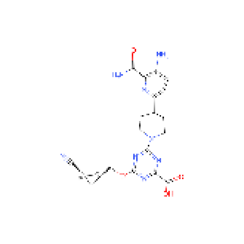 N#C[C@@H]1C[C@@H]1COc1nc(C(=O)O)nc(N2CCC(c3ccc(N)c(C(N)=O)n3)CC2)n1